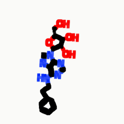 OC[C@H]1O[C@@H](n2cnc3c(NCCc4ccccc4)ncnc32)[C@H](O)[C@@H]1O